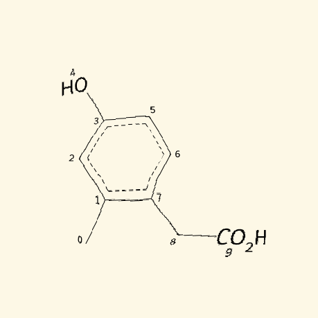 Cc1cc(O)ccc1CC(=O)O